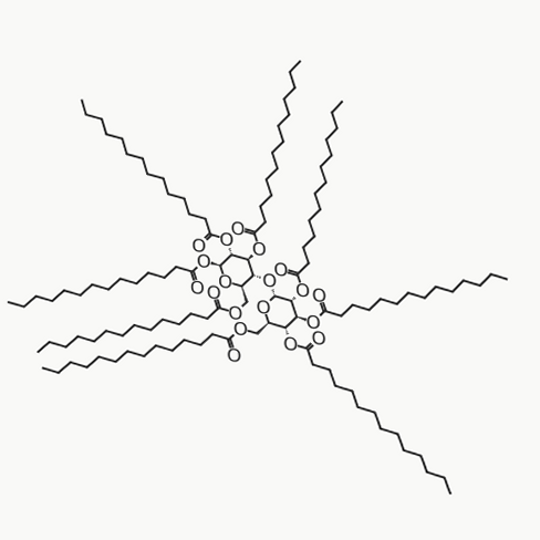 CCCCCCCCCCCCCC(=O)OC[C@H]1O[C@H](O[C@H]2[C@H](OC(=O)CCCCCCCCCCCCC)[C@@H](OC(=O)CCCCCCCCCCCCC)[C@H](OC(=O)CCCCCCCCCCCCC)O[C@@H]2COC(=O)CCCCCCCCCCCCC)[C@H](OC(=O)CCCCCCCCCCCCC)[C@@H](OC(=O)CCCCCCCCCCCCC)[C@@H]1OC(=O)CCCCCCCCCCCCC